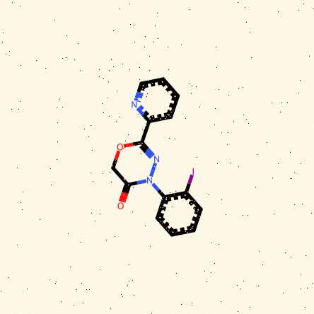 O=C1COC(c2ccccn2)=NN1c1ccccc1I